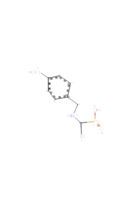 CCCCCCCCc1ccc(CNC(CC)[PH](=O)O)cc1